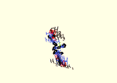 COC(=O)N[C@H](C(=O)N1CCC[C@H]1c1nc2cc([C@@H]3CC[C@@H](c4ccc5c(c4)NC([C@@H]4CCCN4C(=O)[C@@H](NC(=O)OC)C(C)C)N5)N3c3ccc(N4CCCCC4)c(F)c3)ccc2[nH]1)C(C)C